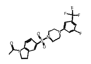 CC(=O)N1CCc2cc(S(=O)(=O)N3CCN(c4cc(F)cc(C(F)(F)F)c4)CC3)ccc21